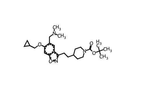 CN(C)Cc1cc2c(CCC3CCN(C(=O)OC(C)(C)C)CC3)noc2cc1OCC1CC1